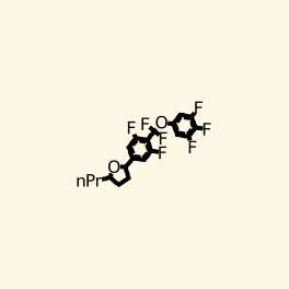 CCCC1CCC(c2cc(F)c(C(F)(F)Oc3cc(F)c(F)c(F)c3)c(F)c2)O1